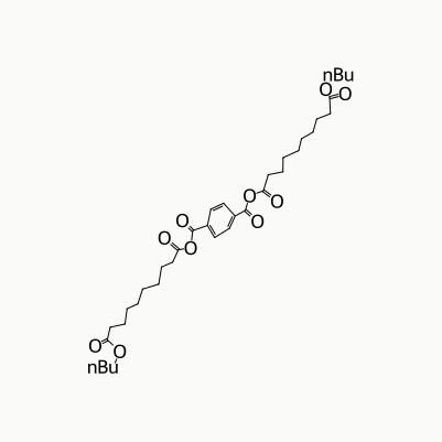 CCCCOC(=O)CCCCCCCCC(=O)OC(=O)c1ccc(C(=O)OC(=O)CCCCCCCCC(=O)OCCCC)cc1